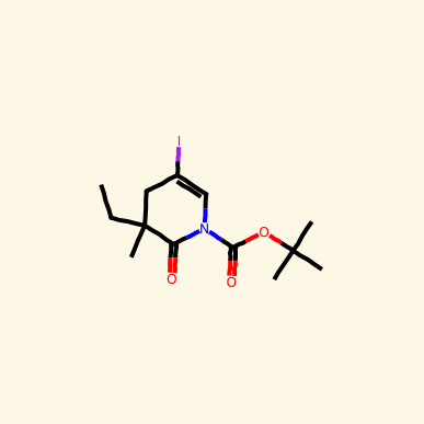 CCC1(C)CC(I)=CN(C(=O)OC(C)(C)C)C1=O